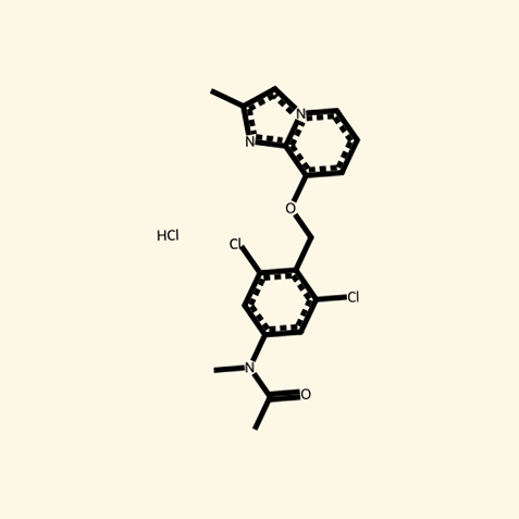 CC(=O)N(C)c1cc(Cl)c(COc2cccn3cc(C)nc23)c(Cl)c1.Cl